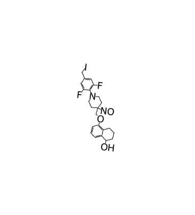 O=NC1(COc2cccc3c2CCCC3O)CCN(c2c(F)cc(CI)cc2F)CC1